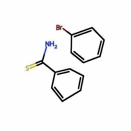 Brc1ccccc1.NC(=S)c1ccccc1